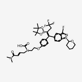 CN(C)C(=O)C=CCN(CCOc1ccc(C(=C(CC(F)(F)F)B2OC(C)(C)C(C)(C)O2)c2ccc3c(c2)c(F)nn3C2CCCCO2)cc1)C(=O)O